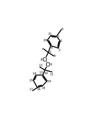 Cc1ccc(C(C)(C)OOC(C)(C)c2ccc(C)cc2)cc1